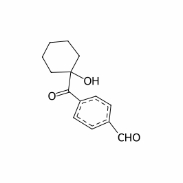 O=Cc1ccc(C(=O)C2(O)CCCCC2)cc1